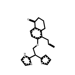 C=CCc1c(OCC(c2ncc[nH]2)c2cccs2)ccc2c1CCCC2=O